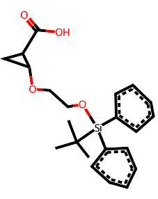 CC(C)(C)[Si](OCCOC1CC1C(=O)O)(c1ccccc1)c1ccccc1